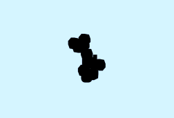 c1ccc(-c2nc(-c3ccc(-c4cc5ccccc5c5c4ccc4ccccc45)cc3)nc(-c3cccc4oc5ccccc5c34)n2)cc1